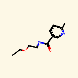 CCOCCNC(=O)c1ccc(C)nc1